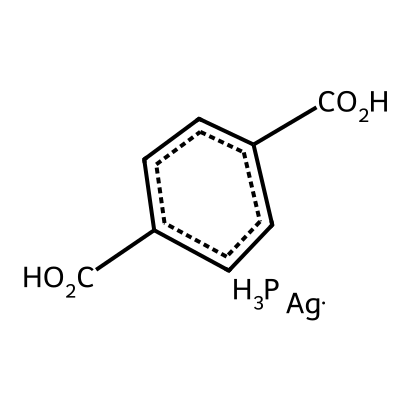 O=C(O)c1ccc(C(=O)O)cc1.P.[Ag]